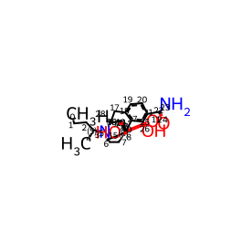 CCC[C@H](C)N1CC[C@]23CC(=O)CC[C@@]2(O)[C@H]1Cc1ccc(C(N)=O)c(O)c13